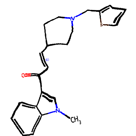 Cn1cc(C(=O)/C=C/C2CCN(Cc3cccs3)CC2)c2ccccc21